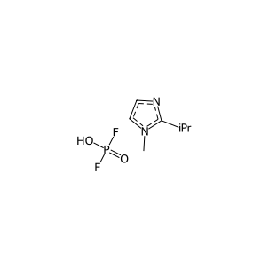 CC(C)c1nccn1C.O=P(O)(F)F